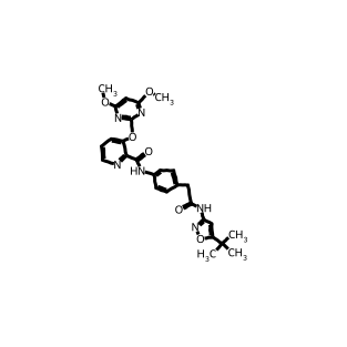 COc1cc(OC)nc(Oc2cccnc2C(=O)Nc2ccc(CC(=O)Nc3cc(C(C)(C)C)on3)cc2)n1